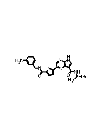 C[C@H](NC(=O)c1c[nH]c2ncc(-c3ccc(C(=O)NCc4cccc(N)c4)s3)nc12)C(C)(C)C